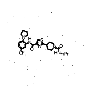 CCCNC(=O)N1CCC(c2nc(C(=O)Nc3cc(C(F)(F)F)ccc3N3CCCC3)cs2)CC1